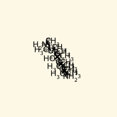 CCC(CO)(COC(C)(C)C(C)OC(C)(C)C(C)N)CP(C)C(C)OC(C)CC(C)N